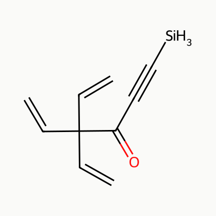 C=CC(C=C)(C=C)C(=O)C#C[SiH3]